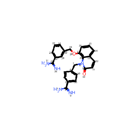 N=C(N)c1ccc(Cn2c(=O)ccc3cccc(OCc4cccc(C(=N)N)c4)c32)cc1